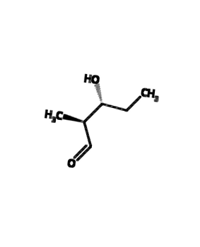 CC[C@@H](O)[C@H](C)C=O